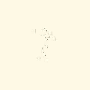 CC[C@@H](CN1CCN(C(=O)OC)CC1)n1c(O)nc2ncc(Cl)cc21